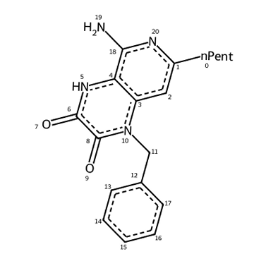 CCCCCc1cc2c([nH]c(=O)c(=O)n2Cc2ccccc2)c(N)n1